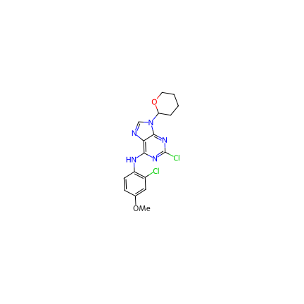 COc1ccc(Nc2nc(Cl)nc3c2ncn3C2CCCCO2)c(Cl)c1